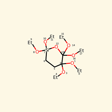 CCOC1(OCC)CC[Si](OCC)(OCC)OC1(OCC)OCC